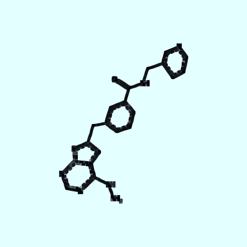 NNc1ncnc2sc(Cc3cccc(C(=O)NCc4cccnc4)c3)cc12